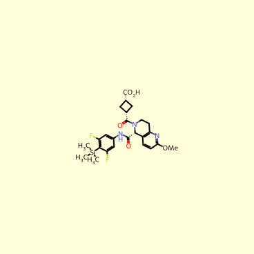 COc1ccc2c(n1)CCN(C(=O)[C@H]1C[C@@H](C(=O)O)C1)[C@H]2C(=O)Nc1cc(F)c([Si](C)(C)C)c(F)c1